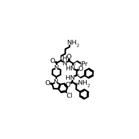 CC(C)C[C@@H](NC(=O)[C@@H](Cc1ccccc1)NC(=O)[C@H](N)Cc1ccccc1)C(=O)N[C@H](CCCCN)C(=O)N1CCC(N2C(=O)Cc3cc(Cl)ccc32)CC1